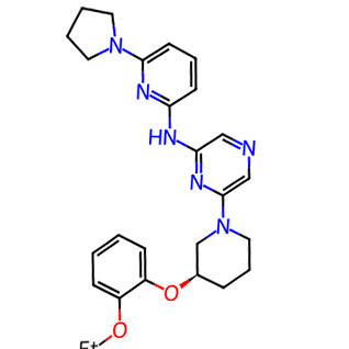 CCOc1ccccc1O[C@@H]1CCCN(c2cncc(Nc3cccc(N4CCCC4)n3)n2)C1